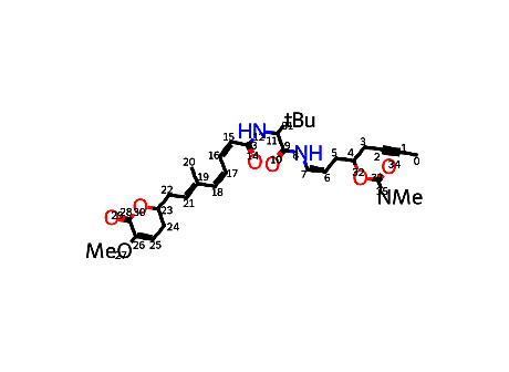 CC#CCC(C/C=C\NC(=O)C(NC(=O)\C=C/C=C\C(C)=C\CC1CC=C(OC)C(=O)O1)C(C)(C)C)OC(=O)NC